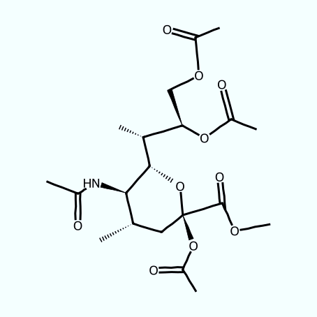 COC(=O)[C@]1(OC(C)=O)C[C@H](C)[C@@H](NC(C)=O)[C@H]([C@H](C)[C@@H](COC(C)=O)OC(C)=O)O1